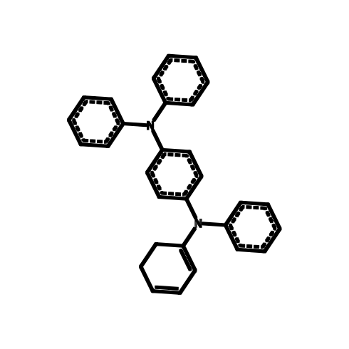 C1=CCCC(N(c2ccccc2)c2ccc(N(c3ccccc3)c3ccccc3)cc2)=C1